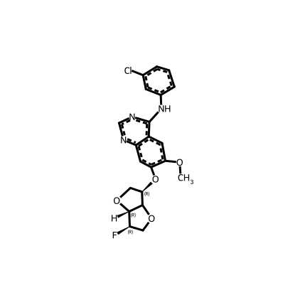 COc1cc2c(Nc3cccc(Cl)c3)ncnc2cc1O[C@@H]1CO[C@@H]2C1OC[C@H]2F